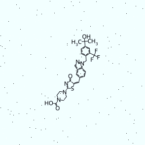 CC(C)(O)c1ccc(Cn2ncc3cc(C=C4SC(N5CCN(C(=O)O)CC5)=NC4=O)ccc32)c(C(F)(F)F)c1